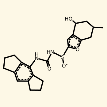 CC1Cc2oc([S+]([O-])NC(=O)Nc3c4c(cc5c3CCC5)CCC4)cc2C(O)C1